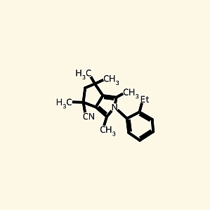 CCc1ccccc1-n1c(C)c2c(c1C)C(C)(C#N)CC2(C)C